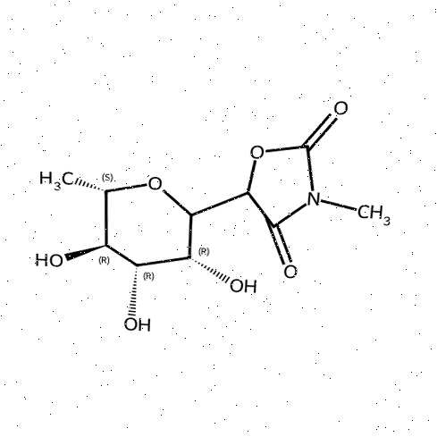 C[C@@H]1OC(C2OC(=O)N(C)C2=O)[C@H](O)[C@H](O)[C@H]1O